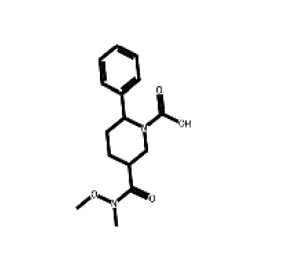 CON(C)C(=O)C1CCC(c2ccccc2)N(C(=O)O)C1